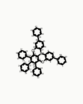 c1ccc(-c2ccc3c(c2)Oc2c4c(c(-c5ccccc5)c(-c5ccccc5)c2-c2ccccc2)Oc2cc(-c5ccccc5)ccc2B34)cc1